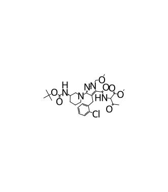 COCn1nc(N2CCC[C@@H](NC(=O)OC(C)(C)C)C2)c(Cc2ccccc2Cl)c1C(=O)NC(C(C)=O)C(=O)OC